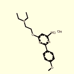 CCN(CC)CCOc1cc(C)nc(-c2ccc(OC)cc2)n1.Cl.Cl